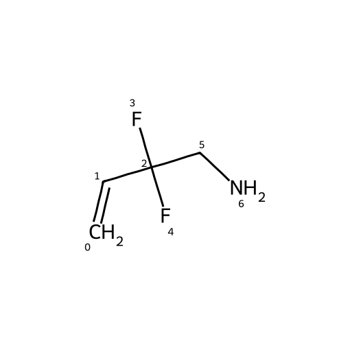 C=CC(F)(F)CN